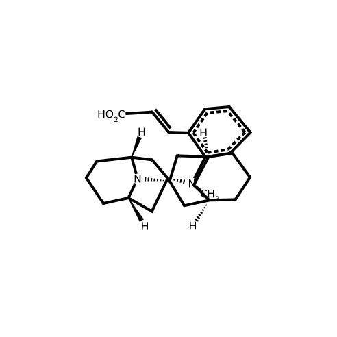 CN(c1ccccc1/C=C/C(=O)O)[C@H]1C[C@H]2CCC[C@@H](C1)N2[C@H]1C[C@@H]2CCC[C@@H](C2)C1